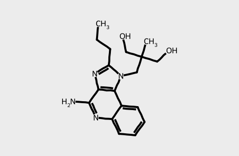 CCCc1nc2c(N)nc3ccccc3c2n1CC(C)(CO)CO